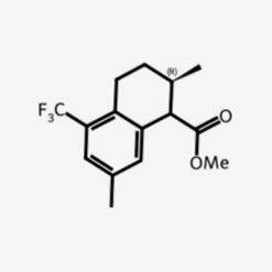 COC(=O)C1c2cc(C)cc(C(F)(F)F)c2CC[C@H]1C